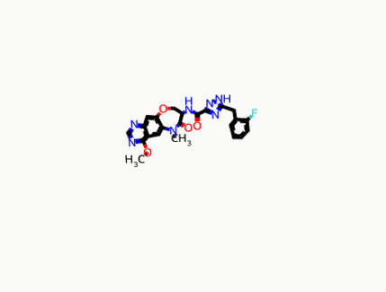 COc1ncnc2cc3c(cc12)N(C)C(=O)C(NC(=O)c1n[nH]c(Cc2ccccc2F)n1)CO3